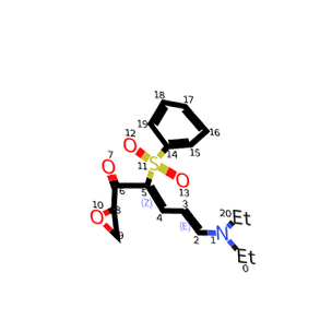 CCN(/C=C/C=C(/C(=O)C1CO1)S(=O)(=O)c1ccccc1)CC